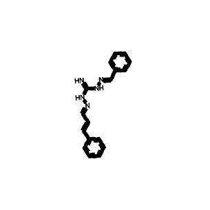 N=C(NN=C/C=C/c1ccccc1)NN=Cc1ccccc1